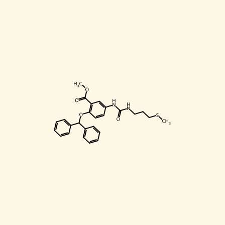 COC(=O)c1cc(NC(=O)NCCCSC)ccc1OC(c1ccccc1)c1ccccc1